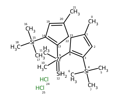 CC1=CC([Si](C)(C)C)=[C]([Zr]([CH3])([CH3])(=[SiH2])[C]2=C([Si](C)(C)C)C=C(C)C2)C1.Cl.Cl